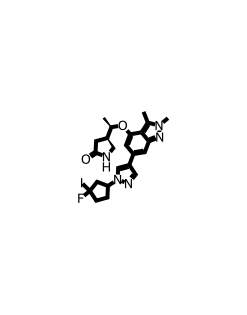 Cc1c2c(O[C@H](C)[C@H]3CNC(=O)C3)cc(-c3cnn(C4CCC(F)(I)C4)c3)cc2nn1C